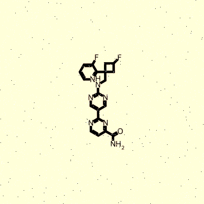 NC(=O)c1ccnc(-c2cnc(NCC3(c4ncccc4F)CC(F)C3)nc2)n1